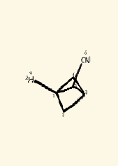 [2H]C12CC(C1)C2C#N